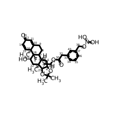 CC1(C)O[C@@H]2C[C@H]3C4CCC5=CC(=O)C=C[C@]5(C)[C@@]4(F)[C@@H](O)C[C@]3(C)[C@]2(C(=O)COC(=O)Cc2cccc(CON(O)O)c2)O1